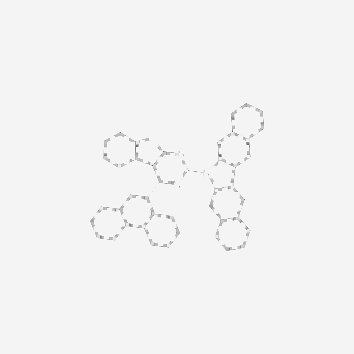 c1ccc2cc3c(cc2c1)c1cc2ccccc2cc1n3-c1nc(-c2cc3ccccc3c3ccccc23)c2c(n1)sc1ccccc12